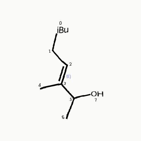 CCC(C)C/C=C(\C)C(C)O